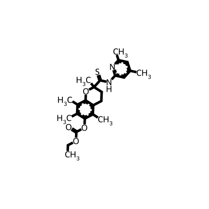 CCOC(=O)Oc1c(C)c(C)c2c(c1C)CCC(C)(C(=S)Nc1cc(C)cc(C)n1)O2